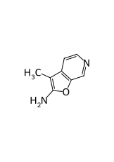 Cc1c(N)oc2cnccc12